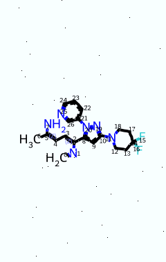 C=N/C(=C\C=C(\C)N)c1cc(N2CCC(F)(F)CC2)nn1-c1cccnc1